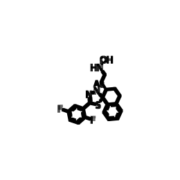 CC(=O)N1N=C(c2cc(F)ccc2F)S[C@@]12c1ccccc1CC[C@@H]2CCNO